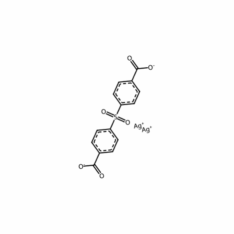 O=C([O-])c1ccc(S(=O)(=O)c2ccc(C(=O)[O-])cc2)cc1.[Ag+].[Ag+]